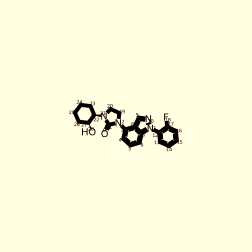 O=C1N(c2cccc3c2cnn3-c2ccccc2F)CCN1[C@@H]1CCCC[C@H]1O